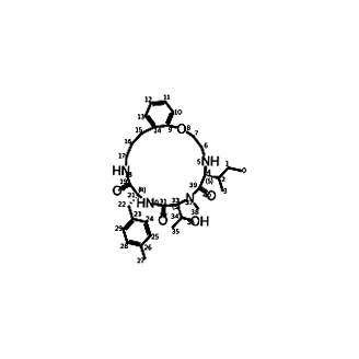 CCC(C)[C@@H]1NCCOc2ccccc2CCCNC(=O)[C@@H](Cc2ccc(C)cc2)NC(=O)[C@H](C(C)O)N(C)C1=O